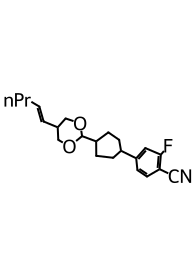 CCCC=CC1COC(C2CCC(c3ccc(C#N)c(F)c3)CC2)OC1